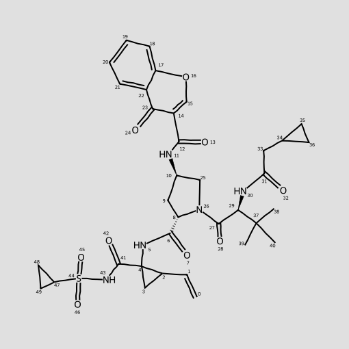 C=CC1CC1(NC(=O)[C@@H]1C[C@@H](NC(=O)c2coc3ccccc3c2=O)CN1C(=O)[C@@H](NC(=O)CC1CC1)C(C)(C)C)C(=O)NS(=O)(=O)C1CC1